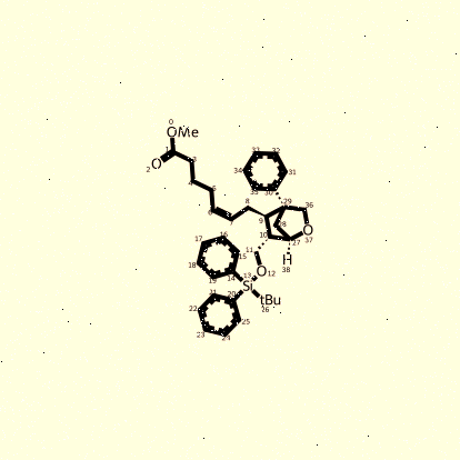 COC(=O)CCC/C=C\C[C@@H]1[C@@H](CO[Si](c2ccccc2)(c2ccccc2)C(C)(C)C)[C@H]2C[C@]1(c1ccccc1)CO2